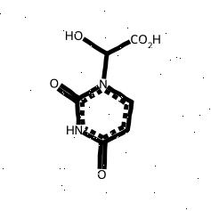 O=C(O)C(O)n1ccc(=O)[nH]c1=O